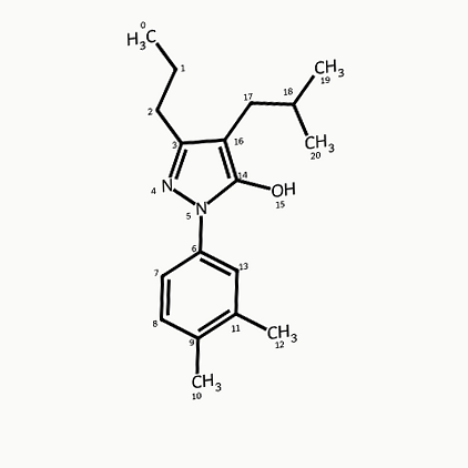 CCCc1nn(-c2ccc(C)c(C)c2)c(O)c1CC(C)C